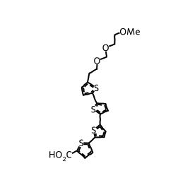 COCCOCOCCc1ccc(-c2ccc(-c3ccc(-c4ccc(C(=O)O)s4)s3)s2)s1